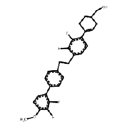 COc1ccc(-c2ccc(CCc3ccc(C4=CCC(CO)CC4)c(F)c3F)cc2)c(F)c1F